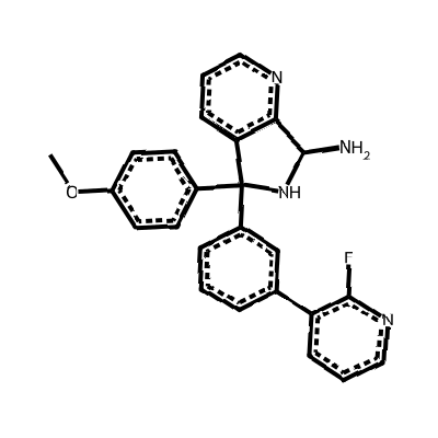 COc1ccc(C2(c3cccc(-c4cccnc4F)c3)NC(N)c3ncccc32)cc1